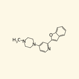 CN1CCN(c2ccnc(-c3cc4ccccc4o3)c2)CC1